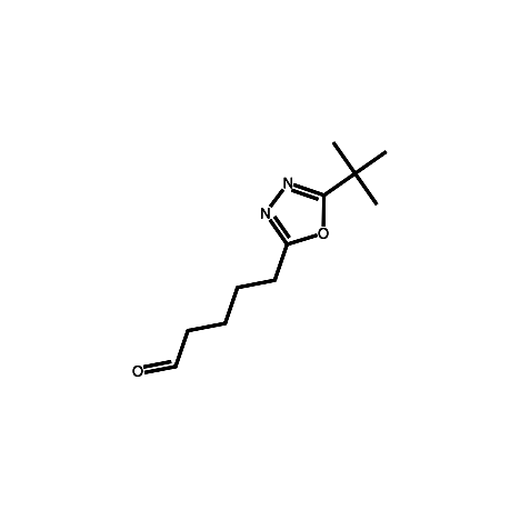 CC(C)(C)c1nnc(CCCCC=O)o1